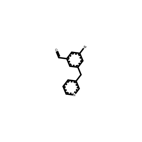 O=Cc1cc(Br)cc(Cc2cccnc2)c1